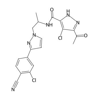 CC(=O)c1n[nH]c(C(=O)NC(C)Cn2ccc(-c3ccc(C#N)c(Cl)c3)n2)c1Cl